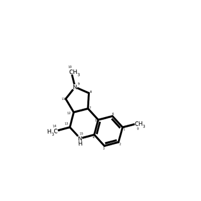 Cc1ccc2c(c1)C1CN(C)CC1C(C)N2